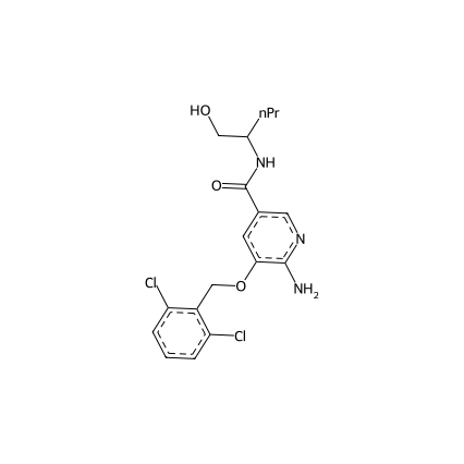 CCCC(CO)NC(=O)c1cnc(N)c(OCc2c(Cl)cccc2Cl)c1